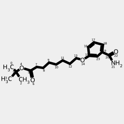 CC(C)(C)OC(=O)CCCCCCCOc1cccc(C(N)=O)c1